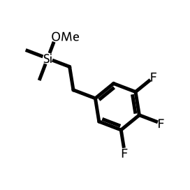 CO[Si](C)(C)CCc1cc(F)c(F)c(F)c1